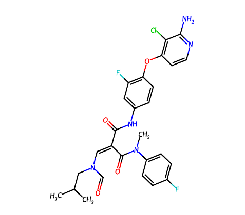 CC(C)CN(C=O)/C=C(/C(=O)Nc1ccc(Oc2ccnc(N)c2Cl)c(F)c1)C(=O)N(C)c1ccc(F)cc1